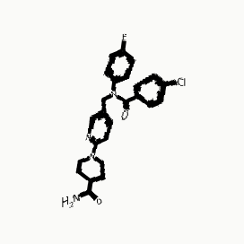 NC(=O)C1CCN(c2ccc(CN(C(=O)c3ccc(Cl)cc3)c3ccc(F)cc3)cn2)CC1